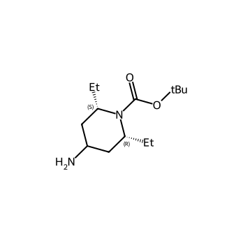 CC[C@@H]1CC(N)C[C@H](CC)N1C(=O)OC(C)(C)C